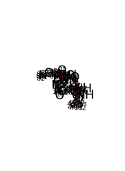 Cc1csc2c(OC(=O)N(C)CCN(C)C(=O)OCc3ccc(NC(=O)[C@H](CCCNC(N)=O)NC(=O)[C@@H](NC(=O)OCC4c5ccccc5-c5ccccc54)C(C)C)cc3)cc3c(c12)[C@H](CCl)CN3C(=O)c1cc2cc(OCCN3CCCC3)ccc2[nH]1